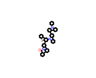 O=c1c2ccccc2c2cccc3c4cc(-c5cc(-n6c7ccccc7c7ccc(-c8cccc9c8c8ccccc8n9-c8ccccc8)cc76)cc6c5sc5ccccc56)ccc4n1c23